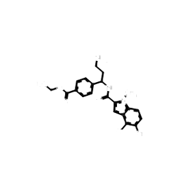 CCOC(=O)c1ccc(C(CCN)NC(=O)c2cc3c(Cl)c(Cl)ccc3n2C)cc1